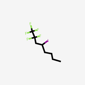 CCCCC(I)CC(F)(F)C(F)(F)F